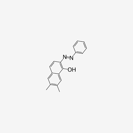 Cc1cc2ccc(N=Nc3ccccc3)c(O)c2cc1C